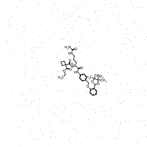 CCOC(=O)C1(C(=O)N[C@@H](CCCNC(N)=O)C(=O)Nc2ccc(COc3ccccc3B3OC(C)(C)C(C)(C)O3)cc2)CCC1